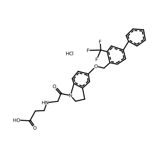 Cl.O=C(O)CCNCC(=O)N1CCc2cc(OCc3ccc(-c4ccccc4)cc3C(F)(F)F)ccc21